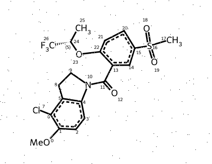 COc1ccc2c(c1Cl)CCN2C(=O)c1cc(S(C)(=O)=O)ccc1O[C@@H](C)C(F)(F)F